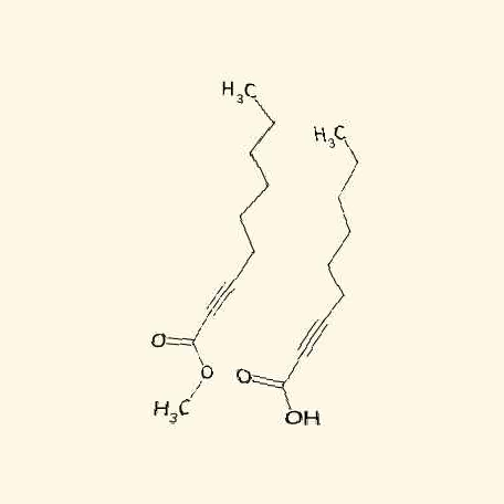 CCCCCCC#CC(=O)O.CCCCCCC#CC(=O)OC